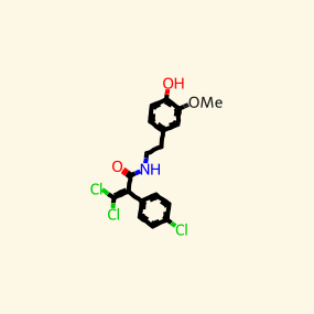 COc1cc(CCNC(=O)C(=C(Cl)Cl)c2ccc(Cl)cc2)ccc1O